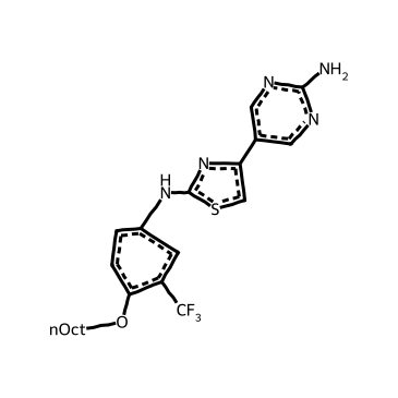 CCCCCCCCOc1ccc(Nc2nc(-c3cnc(N)nc3)cs2)cc1C(F)(F)F